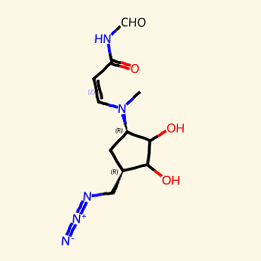 CN(/C=C\C(=O)NC=O)[C@@H]1C[C@H](CN=[N+]=[N-])C(O)C1O